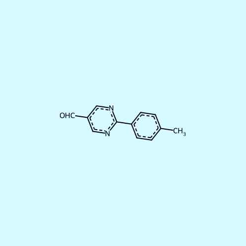 Cc1ccc(-c2ncc(C=O)cn2)cc1